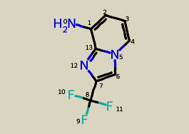 Nc1cccn2cc(C(F)(F)F)nc12